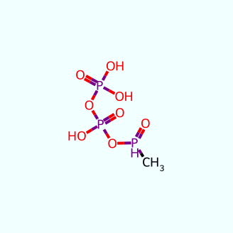 C[PH](=O)OP(=O)(O)OP(=O)(O)O